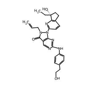 C=CCn1c(=O)c2cnc(Nc3ccc(CCO)cc3)nc2n1-c1ccc2c(n1)[C@@](O)(CC)CC2